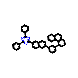 c1ccc(-c2nc(-c3ccccc3)nc(-c3ccc4cc(-c5cccc(-c6cccc7ccc8ccccc8c67)c5)ccc4c3)n2)cc1